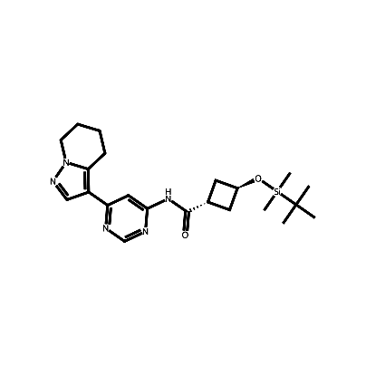 CC(C)(C)[Si](C)(C)O[C@H]1C[C@H](C(=O)Nc2cc(-c3cnn4c3CCCC4)ncn2)C1